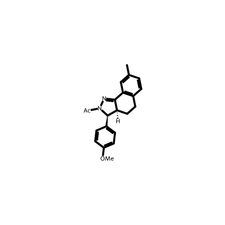 COc1ccc([C@@H]2[C@@H]3CCc4ccc(C)cc4C3=NN2C(C)=O)cc1